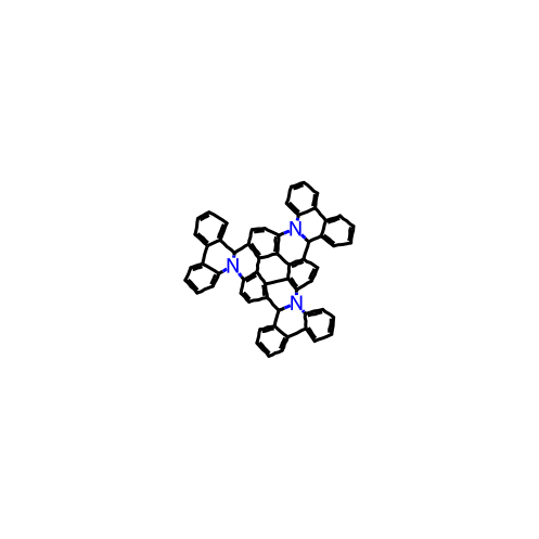 c1ccc2c(c1)-c1ccccc1N1c3ccc4c5c3c3c(ccc6c3c3c(ccc(c53)N3c5ccccc5-c5ccccc5C43)C3c4ccccc4-c4ccccc4N63)C21